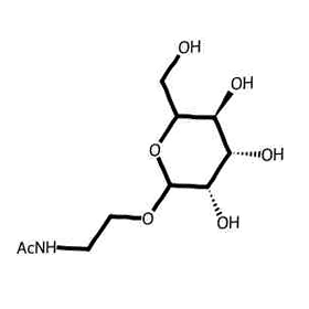 CC(=O)NCCOC1OC(CO)[C@@H](O)[C@H](O)[C@@H]1O